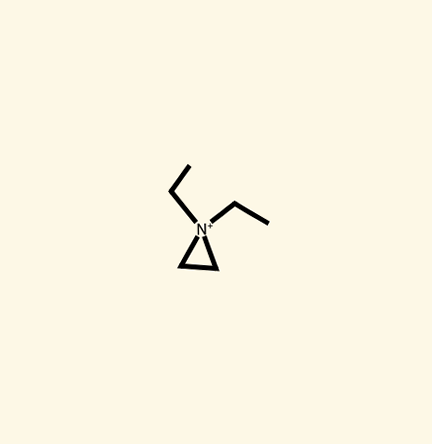 CC[N+]1(CC)CC1